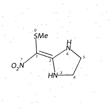 CSC(=C1NCCN1)[N+](=O)[O-]